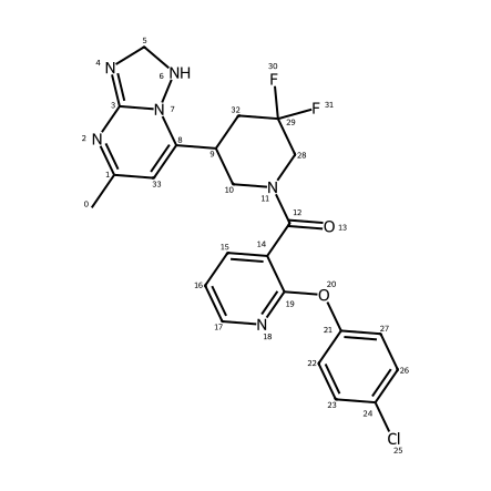 CC1=NC2=NCNN2C(C2CN(C(=O)c3cccnc3Oc3ccc(Cl)cc3)CC(F)(F)C2)=C1